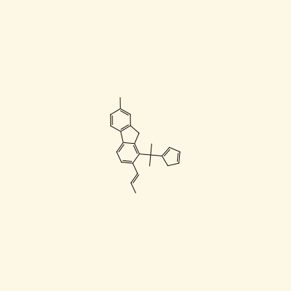 CC=Cc1ccc2c(c1C(C)(C)C1=CC=CC1)Cc1cc(C)ccc1-2